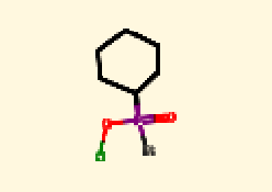 CCP(=O)(OCl)C1CCCCC1